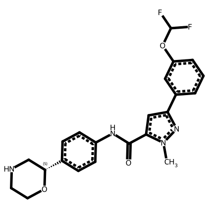 Cn1nc(-c2cccc(OC(F)F)c2)cc1C(=O)Nc1ccc([C@H]2CNCCO2)cc1